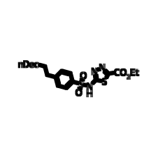 CCCCCCCCCCCCc1ccc(S(=O)(=O)Nc2nnc(C(=O)OCC)s2)cc1